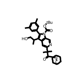 Cc1cc(C)cc(-c2c(C(C)CO)c3cc(C(C)(C)C(=O)N4CC5CCC4CC5)ncc3n2C(=O)OC(C)(C)C)c1